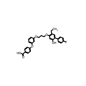 CCc1cc(-c2ccc(F)cc2)c(O)cc1OCCCOc1[c]ccc(Oc2ccc(C(=O)O)cc2)c1